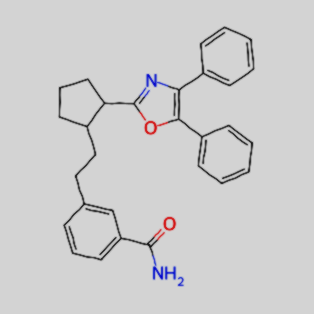 NC(=O)c1cccc(CCC2CCCC2c2nc(-c3ccccc3)c(-c3ccccc3)o2)c1